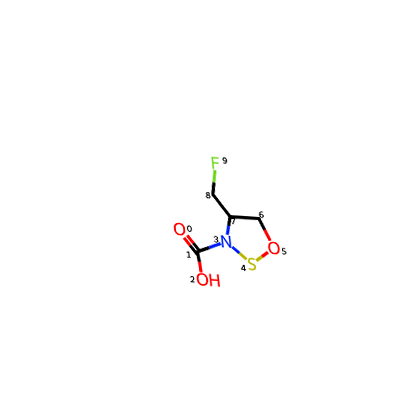 O=C(O)N1SOCC1CF